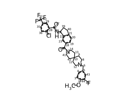 COc1ccc(CN2CCC3(CC2)CCN(C(=O)c2ccc4c(c2)C(NC(=O)c2cc(C(F)(F)F)ccc2Cl)CC4)CC3)cc1F